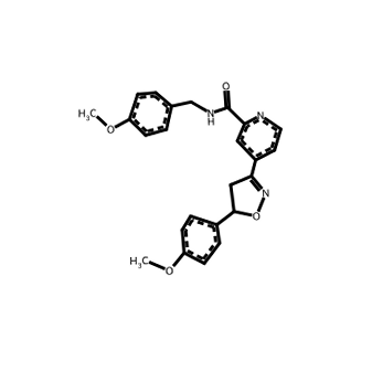 COc1ccc(CNC(=O)c2cc(C3=NOC(c4ccc(OC)cc4)C3)ccn2)cc1